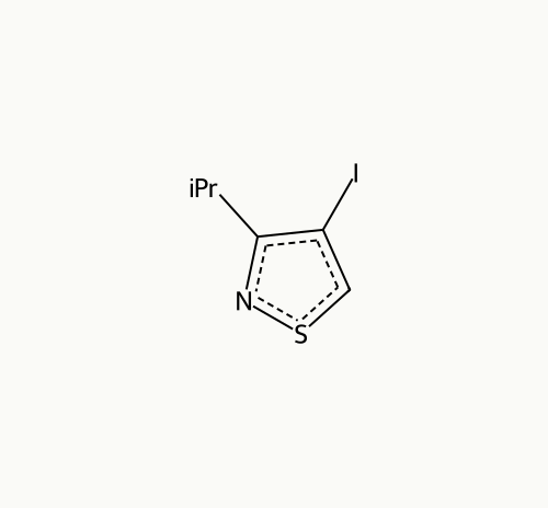 CC(C)c1nscc1I